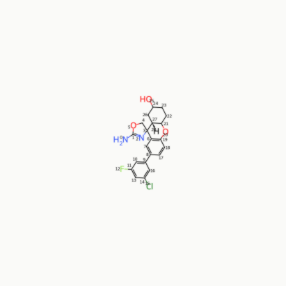 NC1=NC2(CO1)c1cc(-c3cc(F)cc(Cl)c3)ccc1OC1CCC(O)C[C@H]12